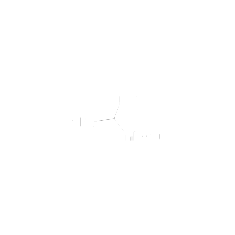 [CH2]CCC(CCCC)CCCCC